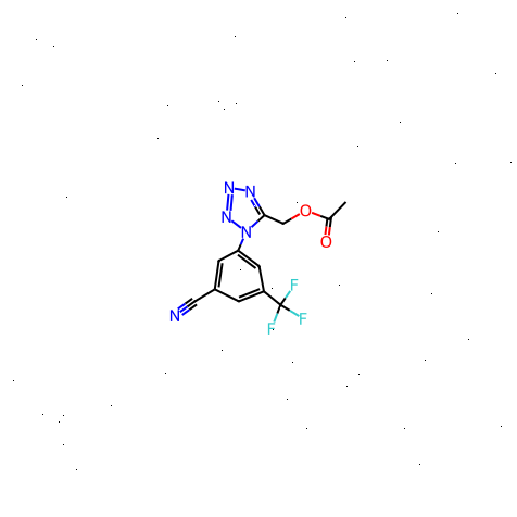 CC(=O)OCc1nnnn1-c1cc(C#N)cc(C(F)(F)F)c1